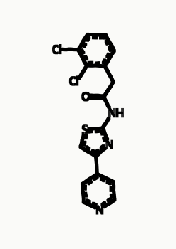 O=C(Cc1cccc(Cl)c1Cl)Nc1nc(-c2ccncc2)cs1